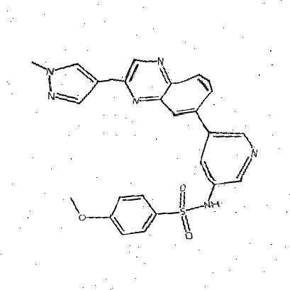 COc1ccc(S(=O)(=O)Nc2cncc(-c3ccc4ncc(-c5cnn(C)c5)nc4c3)c2)cc1